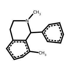 Cc1cccc2c1C(c1ccccc1)N(C)CC2